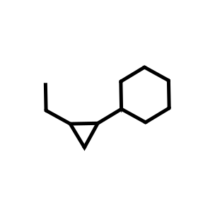 CCC1CC1[C]1CCCCC1